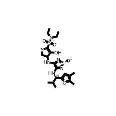 CCN(CC)S(=O)(=O)C1=C(O)C(Nc2n[s+]([O-])nc2N[C@@H](c2cc(C)c(C)o2)C(C)C)CS1